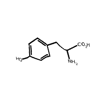 N[C](Cc1ccc(O)cc1)C(=O)O